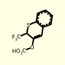 O=C(O)OC1=Cc2ccccc2SC1C(F)(F)F